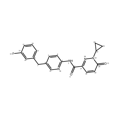 O=C(Nc1ccc(Cc2cccc(F)c2)cn1)c1ccc(=O)n(C2CC2)n1